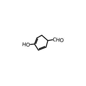 O=CC1C=CC(O)=CC1